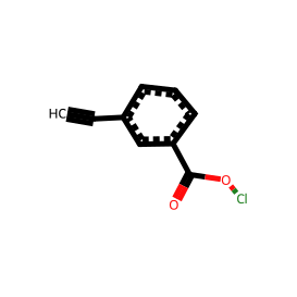 C#Cc1cccc(C(=O)OCl)c1